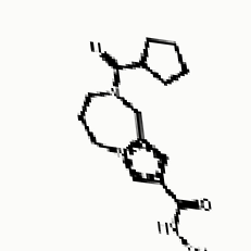 O=C(NO)c1cc2n(c1)CCCN(C(=O)C1CCCC1)C2